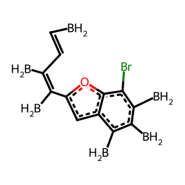 B/C=C/C(B)=C(/B)c1cc2c(B)c(B)c(B)c(Br)c2o1